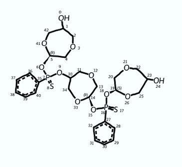 OC1COC[C@@H](OP(=S)(OC2COC[C@@H](OP(=S)(O[C@H]3COCC(O)CO3)c3ccccc3)OC2)c2ccccc2)OC1